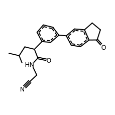 CC(C)CC(C(=O)NCC#N)c1cccc(-c2ccc3c(c2)CCC3=O)c1